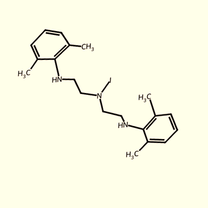 Cc1cccc(C)c1NCCN(I)CCNc1c(C)cccc1C